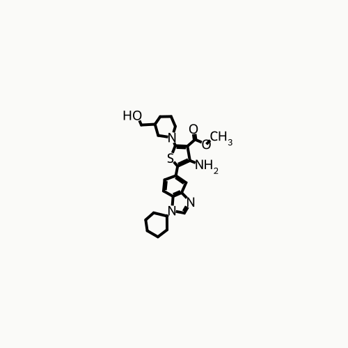 COC(=O)c1c(N2CCCC(CO)C2)sc(-c2ccc3c(c2)ncn3C2CCCCC2)c1N